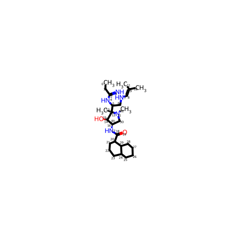 CCC(=N)NC(CNC=C(C)C)[C@@]1(C)[C@H](O)[C@H](NC(=O)C2CCCC3CCCCC32)CN1C